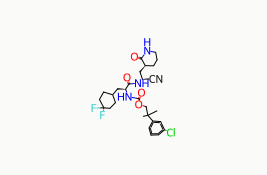 CC(C)(COC(=O)N[C@@H](CC1CCC(F)(F)CC1)C(=O)N[C@H](C#N)C[C@@H]1CCCNC1=O)c1cccc(Cl)c1